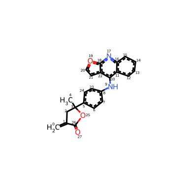 C=C1CC(C)(c2ccc(Nc3c4ccccc4nc4occc34)cc2)OC1=O